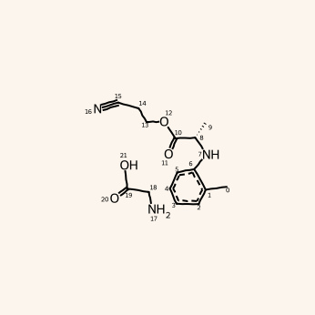 Cc1ccccc1N[C@@H](C)C(=O)OCCC#N.NCC(=O)O